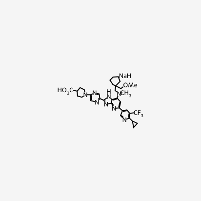 COCC1(CN(C)c2cc(-c3cnc(C4CC4)c(C(F)(F)F)c3)nc3nc(-c4cnc(N5CCC(C(=O)O)CC5)cn4)[nH]c23)CCCCC1.[NaH]